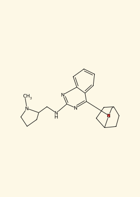 CN1CCCC1CNc1nc(N2CC3CCC(CC3)C2)c2ccccc2n1